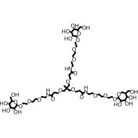 CC(COCCC(=O)NCCOCCOCCO[C@H]1OCC(CO)[C@@H](O)C(O)C1O)(COCCC(=O)NCCOCCOCCO[C@H]1OC(CO)[C@@H](O)C(O)C1O)COCCC(=O)NCCOCCOCCO[C@H]1OC(CO)[C@@H](O)C(O)[C@H]1O